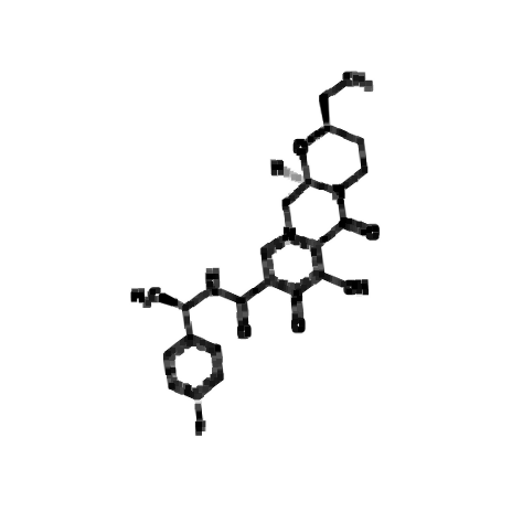 CC[C@H]1CCN2C(=O)c3c(O)c(=O)c(C(=O)N[C@H](C)c4ccc(F)cc4)cn3C[C@H]2O1